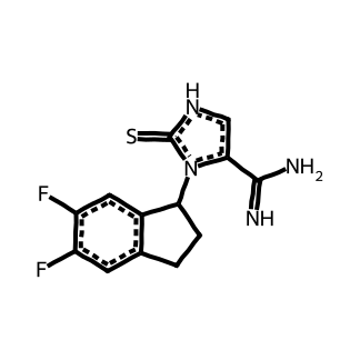 N=C(N)c1c[nH]c(=S)n1C1CCc2cc(F)c(F)cc21